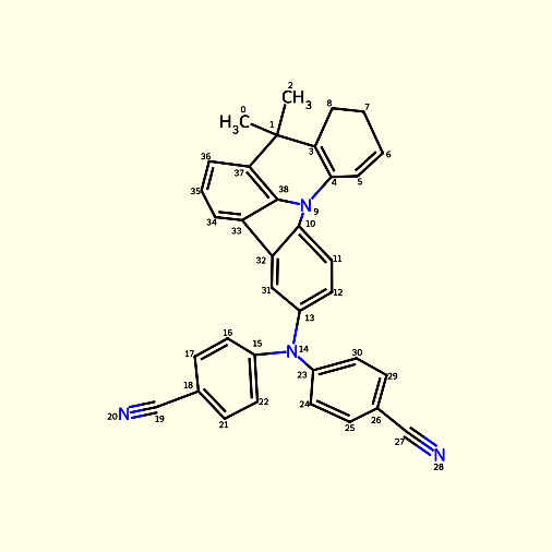 CC1(C)C2=C(C=CCC2)n2c3ccc(N(c4ccc(C#N)cc4)c4ccc(C#N)cc4)cc3c3cccc1c32